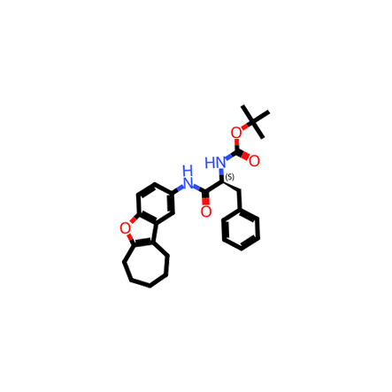 CC(C)(C)OC(=O)N[C@@H](Cc1ccccc1)C(=O)Nc1ccc2oc3c(c2c1)CCCCC3